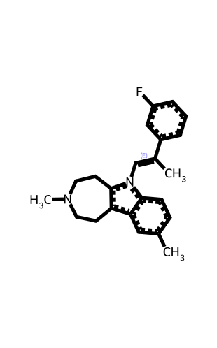 C/C(=C\n1c2c(c3cc(C)ccc31)CCN(C)CC2)c1cccc(F)c1